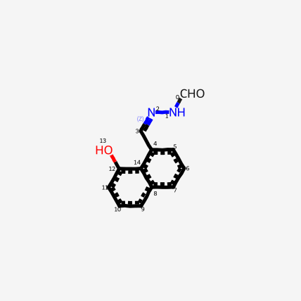 O=CN/N=C\c1cccc2cccc(O)c12